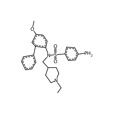 CCN1CCC(CN(c2ccc(OC)cc2-c2ccccc2)S(=O)(=O)c2ccc(P)cc2)CC1